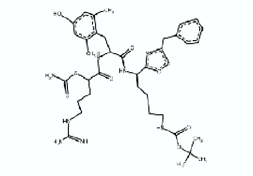 Cc1cc(O)cc(C)c1CC(NC(=O)C(CCCNC(=N)N)OC(N)=O)C(=O)NC(CCCCNC(=O)OC(C)(C)C)c1nc(Cc2ccccc2)no1